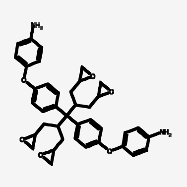 Nc1ccc(Oc2ccc(C(c3ccc(Oc4ccc(N)cc4)cc3)(C(CC3CO3)CC3CO3)C(CC3CO3)CC3CO3)cc2)cc1